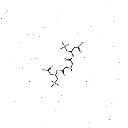 CC(CC(=O)OC(CC(=O)[O-])C[N+](C)(C)C)CC(=O)OC(CC(=O)[O-])C[N+](C)(C)C